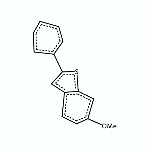 COc1ccc2cc(-c3ccccc3)sc2c1